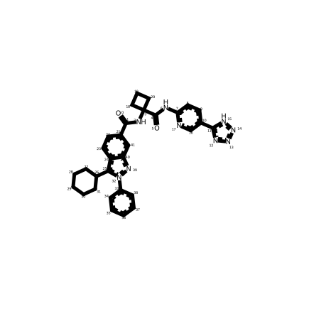 O=C(NC1(C(=O)Nc2ccc(-c3nnn[nH]3)cn2)CCC1)c1ccc2c(C3CCCCC3)n(-c3ccccc3)nc2c1